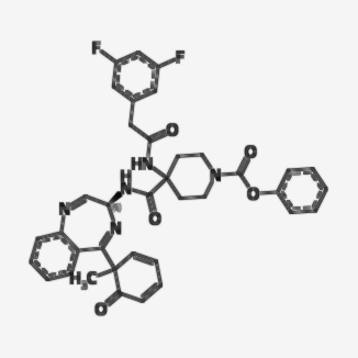 CC1(C2=N[C@H](NC(=O)C3(NC(=O)Cc4cc(F)cc(F)c4)CCN(C(=O)Oc4ccccc4)CC3)C=Nc3ccccc32)C=CC=CC1=O